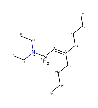 CCCCC(=C[SiH2]N(CC)CC)CCCC